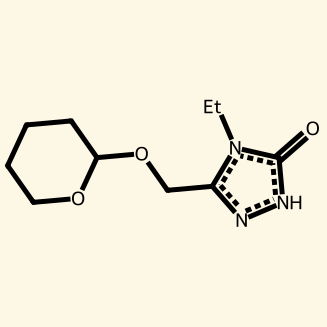 CCn1c(COC2CCCCO2)n[nH]c1=O